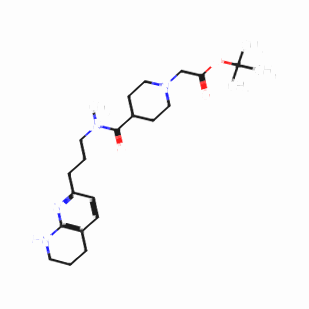 CN(CCCc1ccc2c(n1)NCCC2)C(=O)C1CCN(CC(=O)OC(C)(C)C)CC1